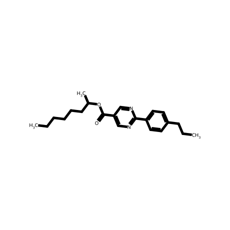 CCCCCCC(C)OC(=O)c1cnc(-c2ccc(CCC)cc2)nc1